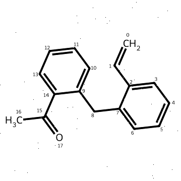 C=Cc1ccccc1Cc1ccccc1C(C)=O